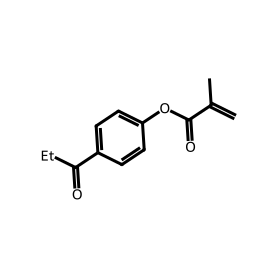 C=C(C)C(=O)Oc1ccc(C(=O)CC)cc1